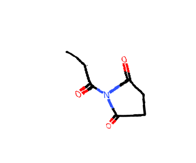 C[CH]C(=O)N1C(=O)CCC1=O